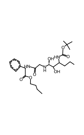 CCCCOC(=O)[C@@H](NC(=O)CN[C@@H](O)C(O)C(CCC)NC(=O)OC(C)(C)C)c1ccccc1